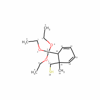 CCO[Si](OCC)(OCC)C1C=CC=CC1(C)CS